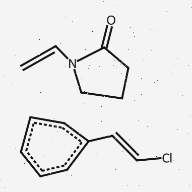 C=CN1CCCC1=O.ClC=Cc1ccccc1